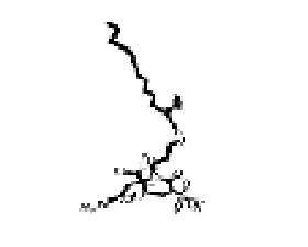 CCCCCCCCCC(CC)OCCCN1C(=O)C(S(=O)(=O)O)CC(=O)[C@]1(CC(N)=O)C(=O)O